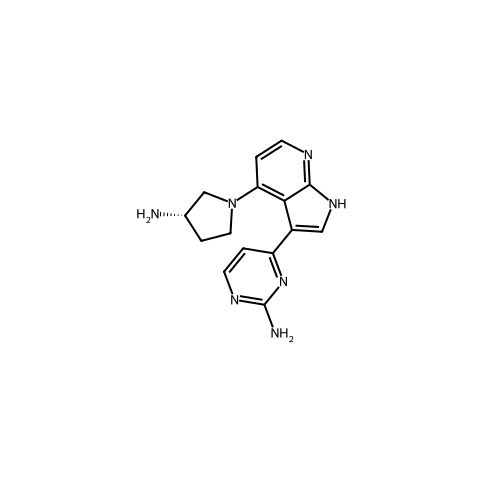 Nc1nccc(-c2c[nH]c3nccc(N4CC[C@H](N)C4)c23)n1